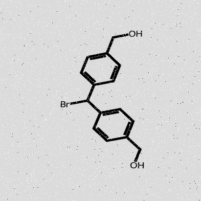 OCc1ccc(C(Br)c2ccc(CO)cc2)cc1